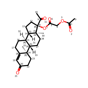 CC(=O)OCC(=O)O[C@]1(C(C)=O)CC[C@H]2[C@@H]3CCC4=CC(=O)CC[C@]4(C)[C@H]3CC[C@@]21C